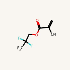 C=C(C#N)C(=O)OCC(F)(F)C(F)(F)F